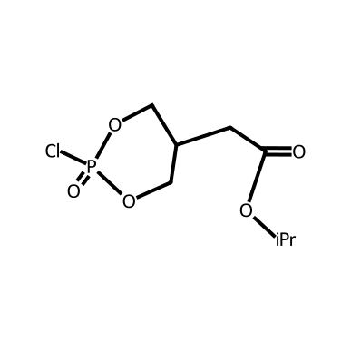 CC(C)OC(=O)CC1COP(=O)(Cl)OC1